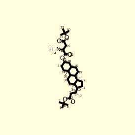 C[C@H](CC(=O)OC(C)(C)C)C1CCC2C3CCC4C[C@H](OC(=O)[C@@H](N)CC(=O)OC(C)(C)C)CC[C@]4(C)C3CC[C@@]21C